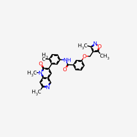 Cc1cc2c(cn1)cc(-c1cc(NC(=O)c3cccc(OCc4c(C)noc4C)c3)ccc1C)c(=O)n2C